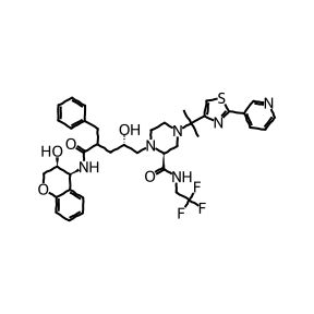 CC(C)(c1csc(-c2cccnc2)n1)N1CCN(C[C@@H](O)CC(Cc2ccccc2)C(=O)N[C@H]2c3ccccc3OC[C@H]2O)[C@H](C(=O)NCC(F)(F)F)C1